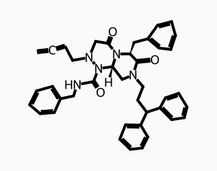 C=C=CCN1CC(=O)N2[C@@H](Cc3ccccc3)C(=O)N(CCC(c3ccccc3)c3ccccc3)C[C@@H]2N1C(=O)NCc1ccccc1